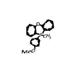 COc1ccc(S2(C)c3ccccc3Oc3ccccc32)cc1